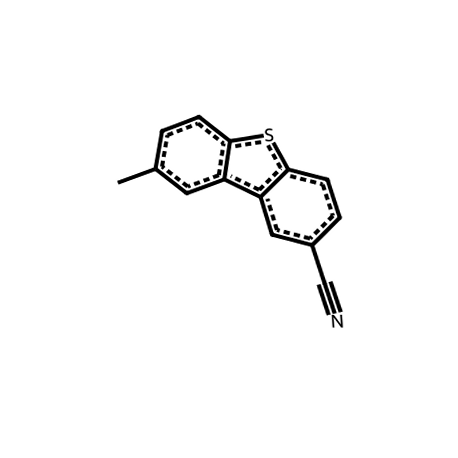 Cc1ccc2sc3ccc(C#N)cc3c2c1